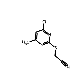 Cc1cc(Cl)nc(SCC#N)n1